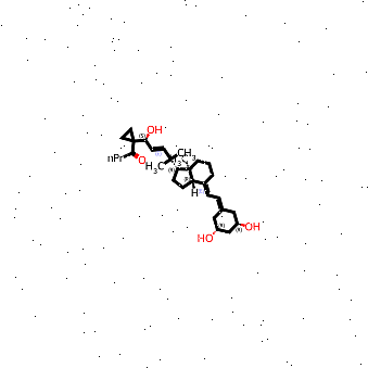 CCCC(=O)C1([C@@H](O)/C=C/C(C)(C)[C@H]2CC[C@H]3/C(=C/C=C4C[C@@H](O)C[C@H](O)C4)CCC[C@]23C)CC1